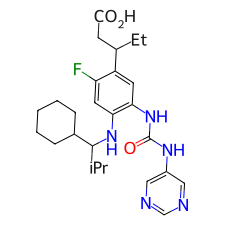 CCC(CC(=O)O)c1cc(NC(=O)Nc2cncnc2)c(NC(C(C)C)C2CCCCC2)cc1F